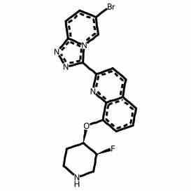 F[C@H]1CNCC[C@H]1Oc1cccc2ccc(-c3nnc4ccc(Br)cn34)nc12